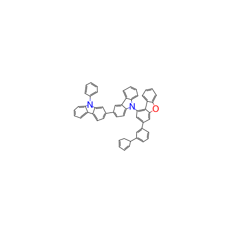 C1=CCC(c2cccc(-c3cc(-n4c5ccccc5c5cc(-c6ccc7c8ccccc8n(-c8ccccc8)c7c6)ccc54)c4c(c3)oc3ccccc34)c2)C=C1